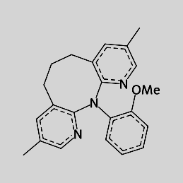 COc1ccccc1N1c2ncc(C)cc2CCCc2cc(C)cnc21